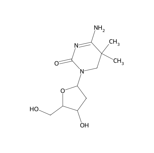 CC1(C)CN(C2CC(O)C(CO)O2)C(=O)N=C1N